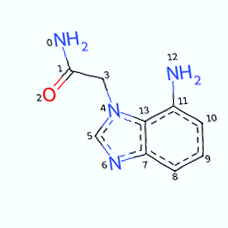 NC(=O)Cn1cnc2cccc(N)c21